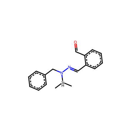 C[SiH](C)N(Cc1ccccc1)N=Cc1ccccc1C=O